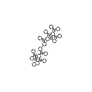 c1ccc(N(c2ccccc2)c2cc3c4c(c2)N(c2ccccc2)c2cc5c(cc2B4c2ccccc2N3c2ccccc2)c2ccc(-c3cccc(N(c4ccccc4)c4cc6c7c(c4)N(c4ccccc4)c4ccc8ccccc8c4B7c4ccccc4N6c4ccccc4)c3)cc2n5-c2ccccc2)cc1